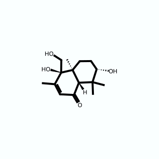 CC1=CC(=O)[C@H]2C(C)(C)[C@@H](O)CC[C@]2(C)[C@@]1(O)CO